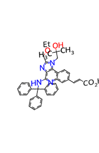 CCOCc1nc2c(NC(c3ccccc3)(c3ccccc3)c3ccccc3)nc3cc(/C=C/C(=O)O)ccc3c2n1CC(C)(C)O